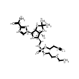 [C-]#[N+]CCOP(=O)(OCCOCC)OC[C@H]1O[C@@H](n2cnc(C(N)=O)n2)C2OC(C)(C)O[C@H]21